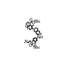 Cc1c(N2CCc3cnc(Nc4ccc(N(CCN(C)C)C(=O)OC(C)(C)C)c(F)c4)cc3C2)cnc2c1N(C(=O)OC(C)(C)C)CCO2